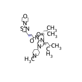 CC(C)C[C@@H]1CN2C(=CN(C3CCN(C)CC3)C[C@@H]2CC(C)C)N(C(=O)/C=C/c2csc(N3CCOCC3)n2)O1